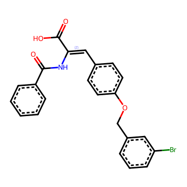 O=C(O)/C(=C/c1ccc(OCc2cccc(Br)c2)cc1)NC(=O)c1ccccc1